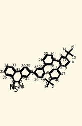 CC(C)(C)c1ccc(-c2ccc(C(C)(C)C)cc2-c2cccc(-c3cccc(-c4ccc5c6ccccc6c6nsnc6c5c4)c3)c2)cc1